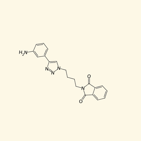 Nc1cccc(-c2cn(CCCCN3C(=O)c4ccccc4C3=O)nn2)c1